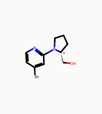 CC(C)c1ccnc(N2CCC[C@@H]2CO)c1